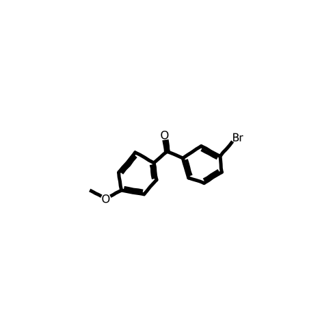 COc1ccc(C(=O)c2cccc(Br)c2)cc1